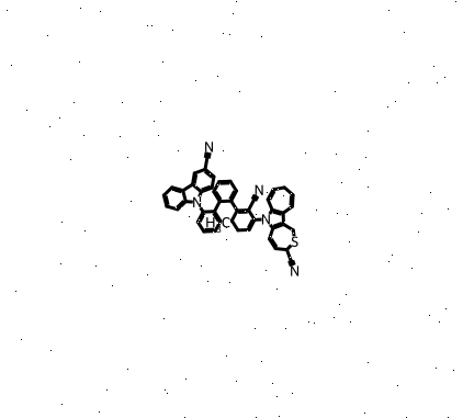 CC1CC=C(n2c3c(c4c2C=CC(C#N)SC4)C=CCC=C3)C(C#N)=C1c1ccccc1-c1ccccc1-n1c2ccccc2c2cc(C#N)ccc21